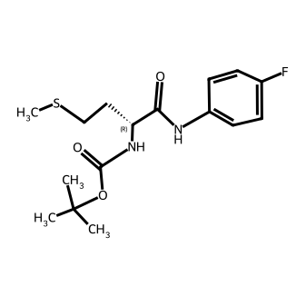 CSCC[C@@H](NC(=O)OC(C)(C)C)C(=O)Nc1ccc(F)cc1